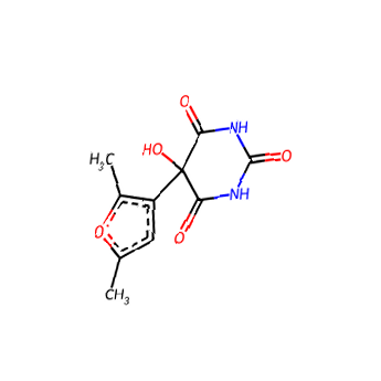 Cc1cc(C2(O)C(=O)NC(=O)NC2=O)c(C)o1